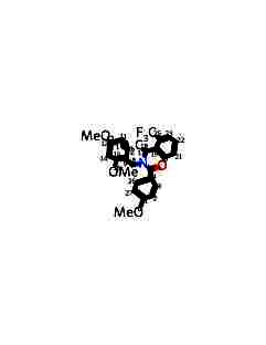 COc1ccc(C(=O)N(Cc2ccc(OC)cc2OC)C(C(=O)O)c2ccccc2C(F)(F)F)cc1